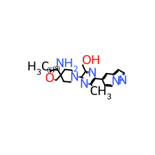 Cc1nc(N2CCC3(CC2)CO[C@@H](C)[C@H]3N)c(CO)nc1-c1ccn2nccc2c1